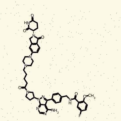 COc1ccc(F)cc1C(=O)NCc1ccc(-c2nn(C3CCN(C(=O)CCCCN4CCN(c5ccc6c(c5)CN([C@H]5CCC(=O)NC5=O)C6=O)CC4)C3)c3ncnc(N)c23)cc1